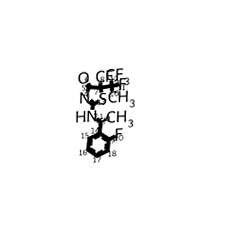 C[C@H](NC1=NC(=O)C(C(F)(F)F)(C(C)(F)C(F)(F)F)S1)c1ccccc1F